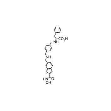 O=C(NO)c1cc2ccc(CNCc3ccc(CN[C@@H](Cc4ccccc4)C(=O)O)cc3)cc2s1